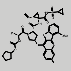 C=C[C@@H]1C[C@]1(NC(=O)[C@@H]1C[C@@H](Oc2c3ccc(F)cc3nc3c2oc2cccc(OC)c23)CN1C(=O)[C@@H](NC(=O)OC1CCCC1)C(C)C)C(=O)NS(=O)(=O)C1CC1